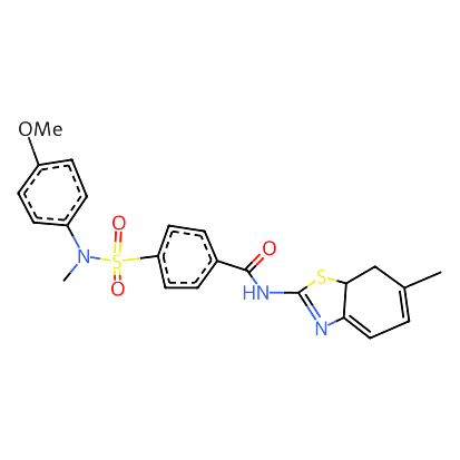 COc1ccc(N(C)S(=O)(=O)c2ccc(C(=O)NC3=NC4=CC=C(C)CC4S3)cc2)cc1